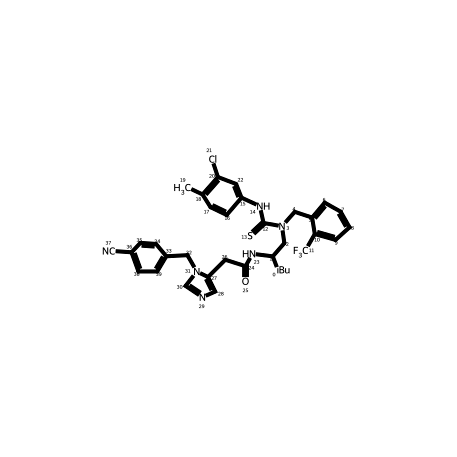 CCC(C)C(CN(Cc1ccccc1C(F)(F)F)C(=S)Nc1ccc(C)c(Cl)c1)NC(=O)Cc1cncn1Cc1ccc(C#N)cc1